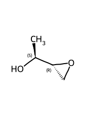 C[C@H](O)[C@H]1CO1